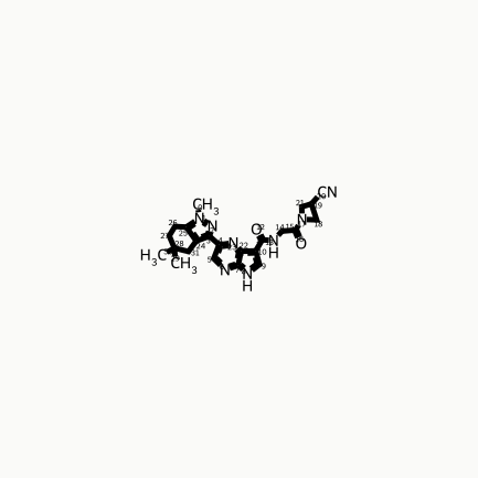 Cn1nc(-c2cnc3[nH]cc(C(=O)NCC(=O)N4CC(C#N)C4)c3n2)c2c1CCC(C)(C)C2